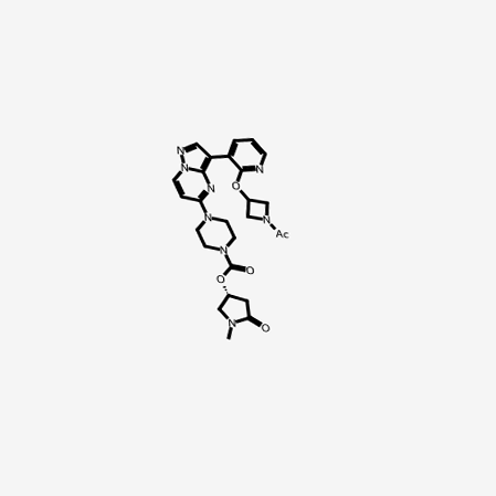 CC(=O)N1CC(Oc2ncccc2-c2cnn3ccc(N4CCN(C(=O)O[C@@H]5CC(=O)N(C)C5)CC4)nc23)C1